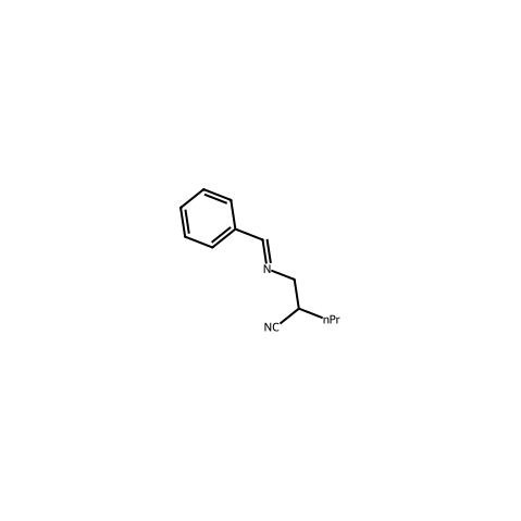 CCCC(C#N)CN=Cc1ccccc1